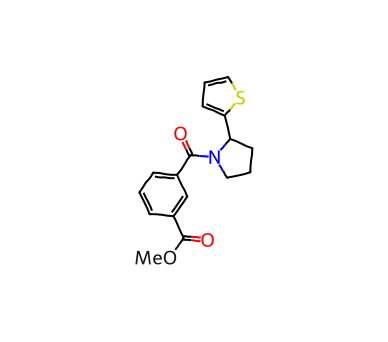 COC(=O)c1cccc(C(=O)N2CCCC2c2cccs2)c1